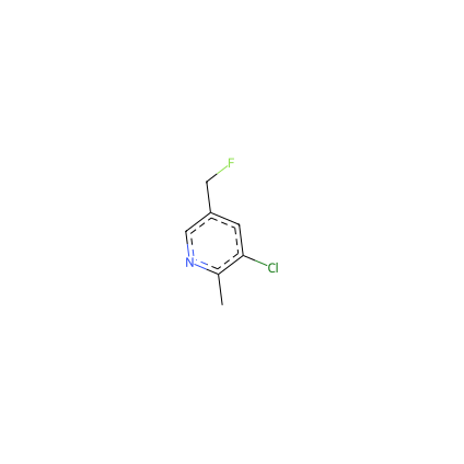 Cc1ncc(CF)cc1Cl